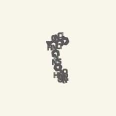 CN(C)S(=O)(=O)NC(=O)c1ccc2nc(N3CCC(NCc4c(-c5c(Cl)cccc5Cl)noc4C4CC4)CC3)sc2c1